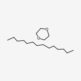 C1COCCO1.CCCCCCCCCCCCCC